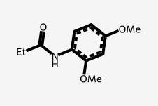 [CH2]CC(=O)Nc1ccc(OC)cc1OC